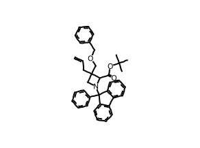 C=CCC1(COCc2ccccc2)CN(C2(c3ccccc3)c3ccccc3-c3ccccc32)C1C(=O)OC(C)(C)C